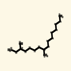 CCCCCCCCC(C)CCCCC(O)CC